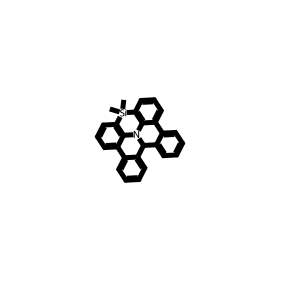 C[Si]1(C)c2cccc3c2N2c4c(cccc41)-c1ccccc1C2c1ccccc1-3